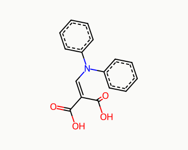 O=C(O)C(=CN(c1ccccc1)c1ccccc1)C(=O)O